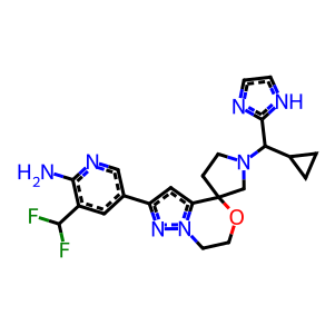 Nc1ncc(-c2cc3n(n2)CCOC32CCN(C(c3ncc[nH]3)C3CC3)C2)cc1C(F)F